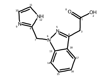 O=C(O)Cc1nn(Cc2ncc[nH]2)c2ccccc12